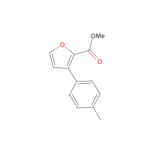 COC(=O)c1occc1-c1ccc(C)cc1